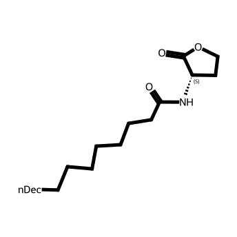 CCCCCCCCCCCCCCCCCC(=O)N[C@H]1CCOC1=O